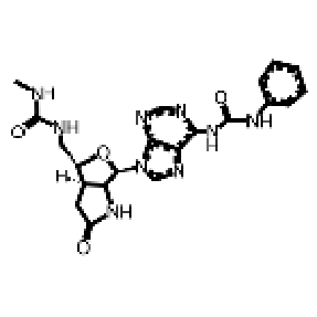 CNC(=O)NC[C@H]1O[C@@H](n2cnc3c(NC(=O)Nc4ccccc4)ncnc32)C2NC(=O)C[C@H]21